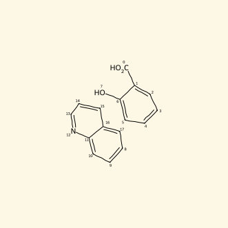 O=C(O)c1ccccc1O.c1ccc2ncccc2c1